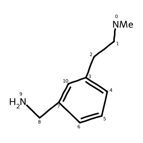 CNCCc1cccc(CN)c1